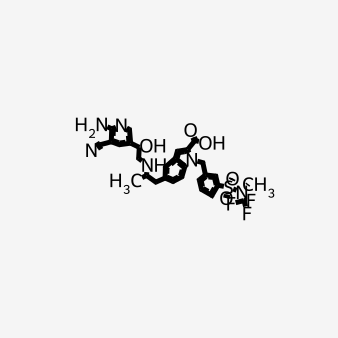 CC(Cc1ccc2c(c1)cc(C(=O)O)n2Cc1cccc(S(=O)(=O)N(C)C(F)(F)F)c1)NCC(O)c1cnc(N)c(C#N)c1